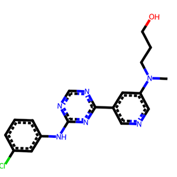 CN(CCCO)c1cncc(-c2ncnc(Nc3cccc(Cl)c3)n2)c1